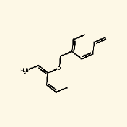 B/C=C(\C=C/C)OCC(/C=C\C=C)=C/C